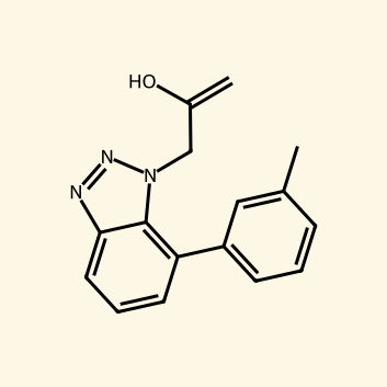 C=C(O)Cn1nnc2cccc(-c3cccc(C)c3)c21